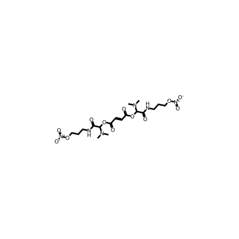 CN(C)C(OC(=O)/C=C/C(=O)OC(C(=O)NCCCO[N+](=O)[O-])N(C)C)C(=O)NCCCO[N+](=O)[O-]